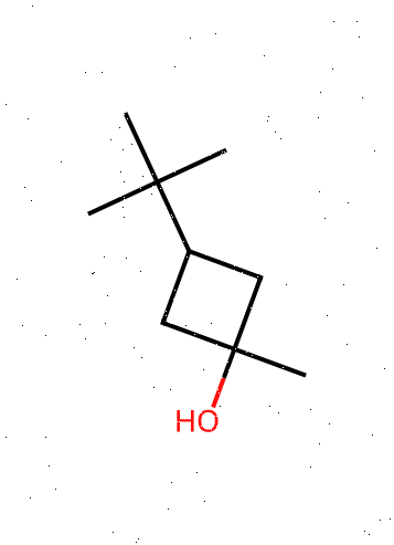 CC1(O)CC(C(C)(C)C)C1